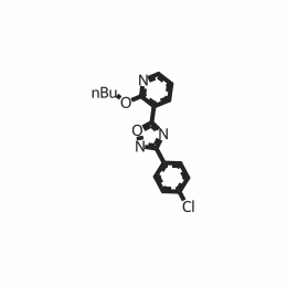 CCCCOc1ncccc1-c1nc(-c2ccc(Cl)cc2)no1